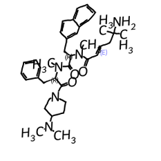 CN(C)C1CCN(C(=O)[C@@H](Cc2ccccc2)N(C)C(=O)[C@@H](Cc2ccc3ccccc3c2)N(C)C(=O)/C=C/CC(C)(C)N)CC1